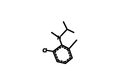 Cc1cccc(Cl)c1N(C)C(C)C